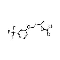 CC(CCOc1cccc(C(F)(F)F)c1)OC(=O)Cl